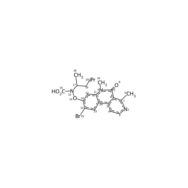 Cc1nccc2c1c(=O)n(C)c1cc(ON(C(=O)O)C(C)CC(C)C)c(Br)cc21